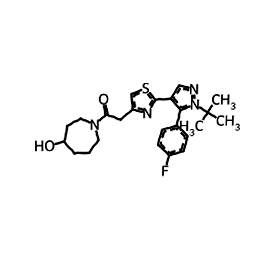 CC(C)(C)n1ncc(-c2nc(CC(=O)N3CCCC(O)CC3)cs2)c1-c1ccc(F)cc1